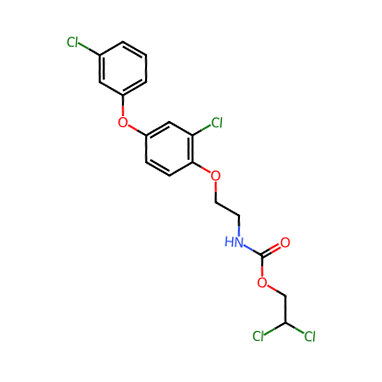 O=C(NCCOc1ccc(Oc2cccc(Cl)c2)cc1Cl)OCC(Cl)Cl